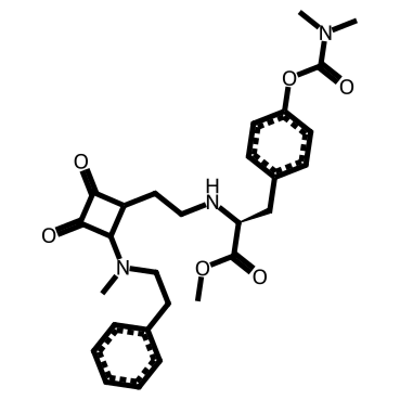 COC(=O)[C@H](Cc1ccc(OC(=O)N(C)C)cc1)NCCC1C(=O)C(=O)C1N(C)CCc1ccccc1